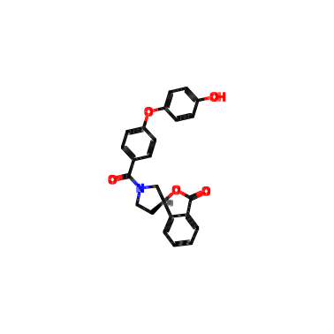 O=C1O[C@]2(CCN(C(=O)c3ccc(Oc4ccc(O)cc4)cc3)C2)c2ccccc21